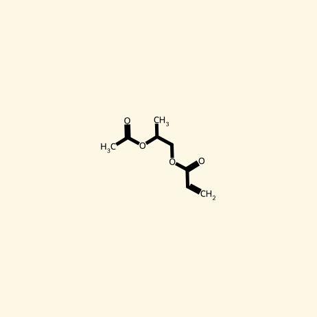 C=CC(=O)OCC(C)OC(C)=O